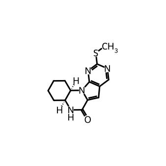 CSc1ncc2cc3n(c2n1)[C@@H]1CCCC[C@@H]1NC3=O